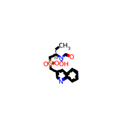 CC[C@@H](CS(=O)(=O)Cc1cnc2ccccc2c1)N(O)C=O